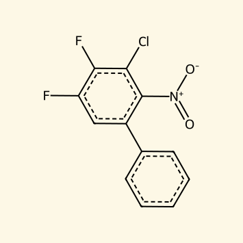 O=[N+]([O-])c1c(-c2ccccc2)cc(F)c(F)c1Cl